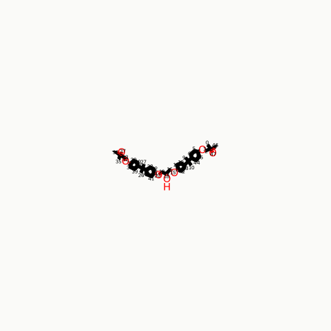 CC1(COc2ccc(C(C)(C)c3ccc(OCC(O)COc4ccc(C(C)(C)c5ccc(OCC6(C)CO6)cc5)cc4)cc3)cc2)CO1